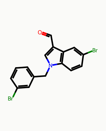 O=Cc1cn(Cc2cccc(Br)c2)c2ccc(Br)cc12